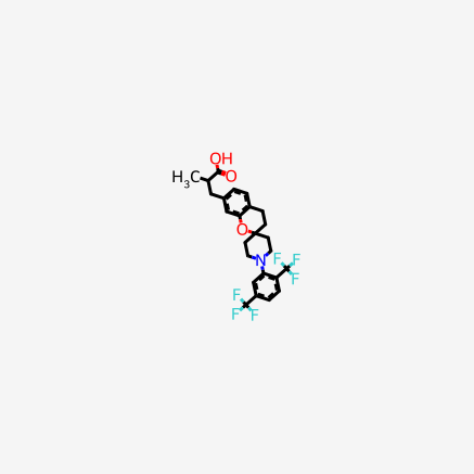 CC(Cc1ccc2c(c1)OC1(CC2)CCN(c2cc(C(F)(F)F)ccc2C(F)(F)F)CC1)C(=O)O